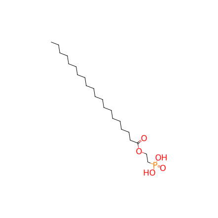 CCCCCCCCCCCCCCCCCCCC(=O)OCCP(=O)(O)O